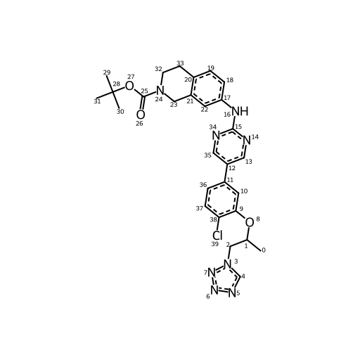 CC(Cn1cnnn1)Oc1cc(-c2cnc(Nc3ccc4c(c3)CN(C(=O)OC(C)(C)C)CC4)nc2)ccc1Cl